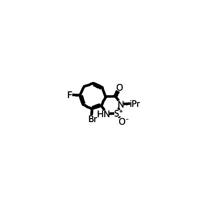 CC(C)N1C(=O)C2/C=C\C/C(F)=C\C(Br)=C/2N[S+]1[O-]